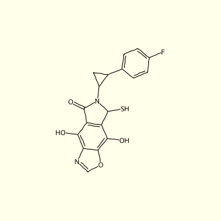 O=C1c2c(c(O)c3ocnc3c2O)C(S)N1C1CC1c1ccc(F)cc1